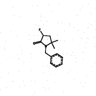 CC1(C)CC(F)C(=O)N1Cc1ccccc1